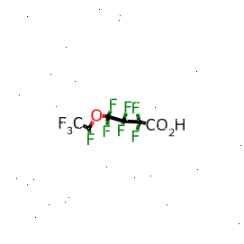 O=C(O)C(F)(F)C(F)(F)C(F)(F)OC(F)C(F)(F)F